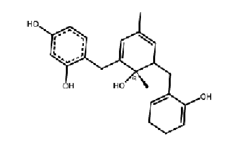 CC1=CC(CC2=CCCC=C2O)[C@](C)(O)C(Cc2ccc(O)cc2O)=C1